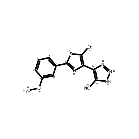 CCc1sc(-c2cccc(OC(F)(F)F)c2)nc1-c1nn[nH]c1C#N